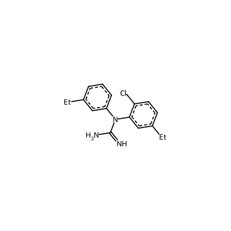 CCc1cccc(N(C(=N)N)c2cc(CC)ccc2Cl)c1